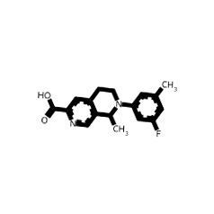 Cc1cc(F)cc(N2CCc3cc(C(=O)O)ncc3C2C)c1